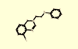 Fc1cccc2c1N=CN(CCOc1ccccc1)C2